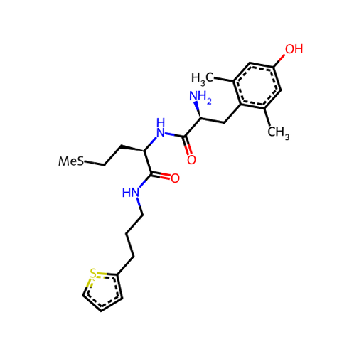 CSCC[C@@H](NC(=O)[C@@H](N)Cc1c(C)cc(O)cc1C)C(=O)NCCCc1cccs1